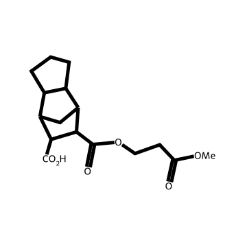 COC(=O)CCOC(=O)C1C2CC(C3CCCC32)C1C(=O)O